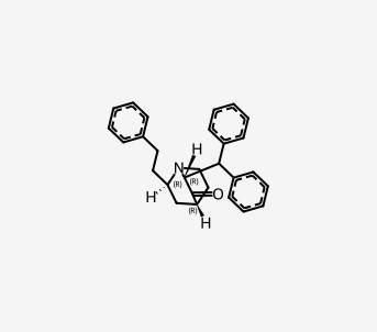 O=C1[C@@H]2CCN([C@H](CCc3ccccc3)C2)[C@@H]1C(c1ccccc1)c1ccccc1